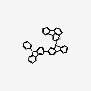 c1ccc(-n2c3ccccc3c3cc(-c4ccc5c6ccccc6n(-c6cc7c8c(cccc8n6)-c6ccccc6-7)c5c4)ccc32)cc1